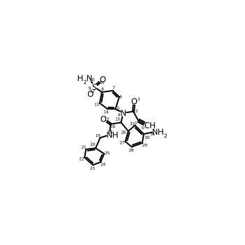 C#CC(=O)N(c1ccc(S(N)(=O)=O)cc1)C(C(=O)NCc1ccccc1)c1cccc(N)c1